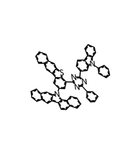 c1ccc(-c2nc(-c3ccc4c5ccccc5n(-c5ccccc5)c4c3)nc(-c3cc(-n4c5cc6ccccc6cc5c5ccc6ccccc6c54)cc4c3sc3cc5ccccc5cc34)n2)cc1